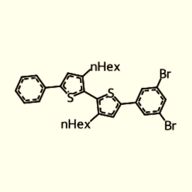 CCCCCCc1cc(-c2ccccc2)sc1-c1sc(-c2cc(Br)cc(Br)c2)cc1CCCCCC